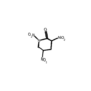 O=C1C([N+](=O)[O-])CC([N+](=O)[O-])CN1[N+](=O)[O-]